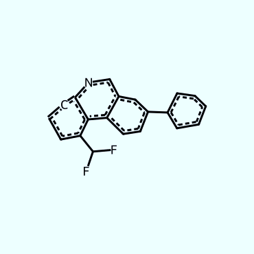 FC(F)c1cccc2ncc3cc(-c4ccccc4)ccc3c12